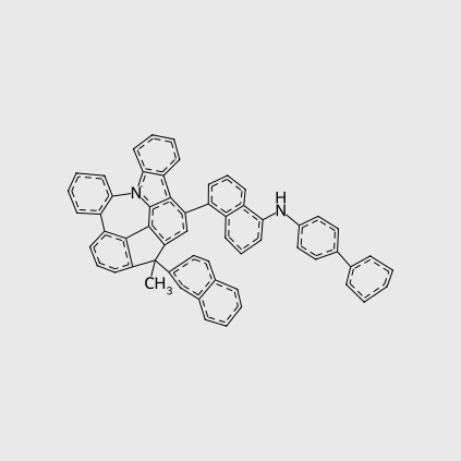 CC1(c2ccc3ccccc3c2)c2cccc3c2-c2c1cc(-c1cccc4c(Nc5ccc(-c6ccccc6)cc5)cccc14)c1c4ccccc4n(c21)-c1ccccc1-3